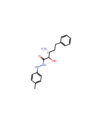 Cc1ccc(NNC(=O)C(O)[C@H](N)CCc2ccccc2)cc1